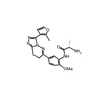 COc1ccc(C2=Nn3c(nnc3-c3ccoc3C)SC2)cc1NC(=O)[C@H](C)N